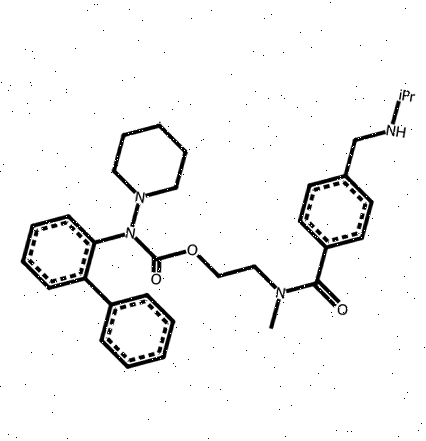 CC(C)NCc1ccc(C(=O)N(C)CCOC(=O)N(c2ccccc2-c2ccccc2)N2CC[CH]CC2)cc1